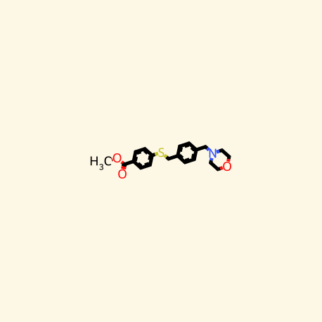 COC(=O)c1ccc(SCc2ccc(CN3CCOCC3)cc2)cc1